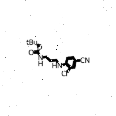 CC(C)(C)OC(=O)NCCCNc1ccc(C#N)cc1Cl